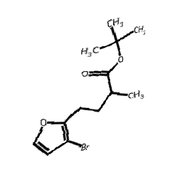 CC(CCc1occc1Br)C(=O)OC(C)(C)C